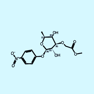 COC(=O)CO[C@H]1[C@H](O)[C@@H](Oc2ccc([N+](=O)[O-])cc2)O[C@@H](C)[C@H]1O